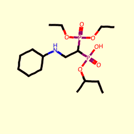 CCOP(=O)(OCC)C(CNC1CCCCC1)P(=O)(O)OC(C)CC